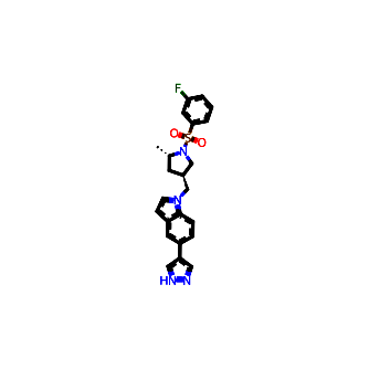 C[C@H]1C[C@H](Cn2ccc3cc(-c4cn[nH]c4)ccc32)CN1S(=O)(=O)c1cccc(F)c1